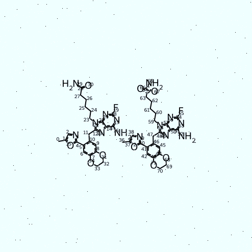 Cc1cnc(-c2cc3c(cc2Cc2nc4c(N)nc(F)nc4n2CCCCCC(N)=O)OCCO3)o1.Cc1cnc(-c2cc3c(cc2Cc2nc4c(N)nc(F)nc4n2CCCCCS(N)(=O)=O)OCCO3)o1